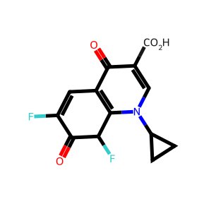 O=C(O)c1cn(C2CC2)c2c(c1=O)C=C(F)C(=O)C2F